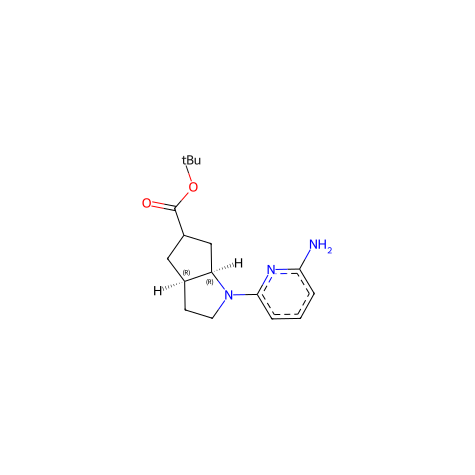 CC(C)(C)OC(=O)C1C[C@@H]2CCN(c3cccc(N)n3)[C@@H]2C1